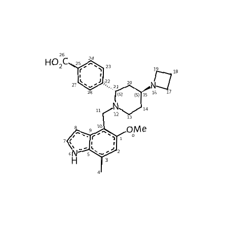 COc1cc(C)c2[nH]ccc2c1CN1CC[C@H](N2CCC2)C[C@H]1c1ccc(C(=O)O)cc1